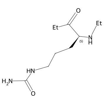 CCN[C@@H](CCCNC(N)=O)C(=O)CC